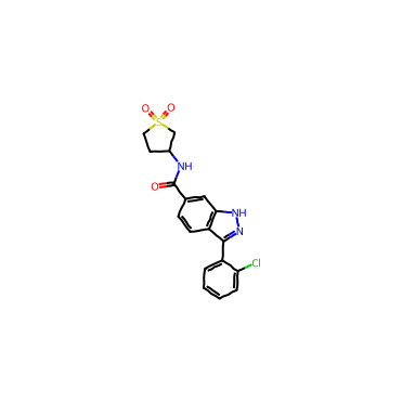 O=C(NC1CCS(=O)(=O)C1)c1ccc2c(-c3ccccc3Cl)n[nH]c2c1